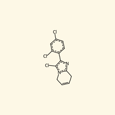 Clc1ccc(-c2nc3n(c2Cl)CC=CC3)c(Cl)c1